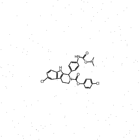 CN(C)OC(=O)Nc1ccc(C2c3[nH]c4ccc(Cl)cc4c3CCN2C(=O)Oc2ccc(Cl)cc2)cc1